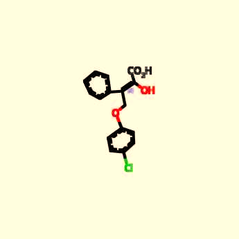 O=C(O)/C(O)=C(/COc1ccc(Cl)cc1)c1ccccc1